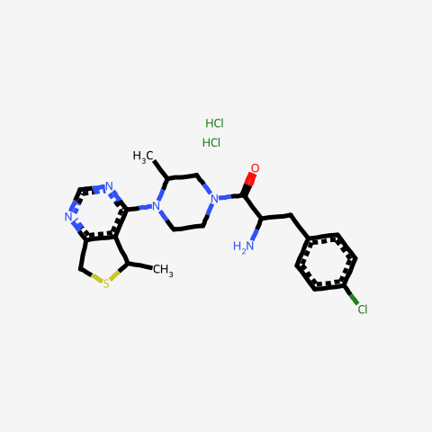 CC1SCc2ncnc(N3CCN(C(=O)C(N)Cc4ccc(Cl)cc4)CC3C)c21.Cl.Cl